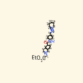 CCOC(=O)CN1CCc2cc(C(=O)Nc3ccc(C=NN4CCCCC4)cc3)ccc2C1